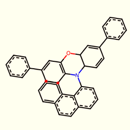 C1=C=c2c(ccc3cccc(N4C5=C(C=C(c6ccccc6)CC5)OC5C=C(c6ccccc6)C=CC54)c23)=CC=1